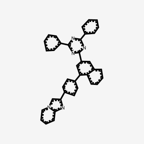 c1ccc(-c2nc(-c3ccccc3)nc(-c3cc(-c4ccc(-c5cn6ccccc6n5)cc4)c4ccccc4c3)n2)cc1